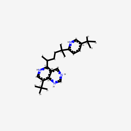 CC(CCC(C)(C)c1ccc(C(C)(C)C)cn1)c1ncc(C(C)(C)C)c2ncncc12